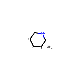 C1CCNCC1.[SiH4]